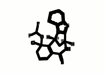 FC(F)OC1(Cl)CC=CC2=C1[C@H]1C[C@@H](NC2=S)c2nc3ccccc3n21